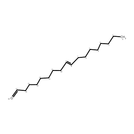 CCCCCCCC/C=C/CCCCCCCC=O